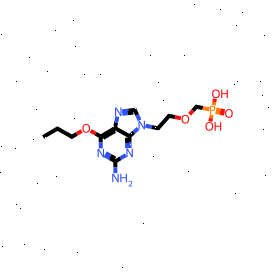 CCCOc1nc(N)nc2c1ncn2CCOCP(=O)(O)O